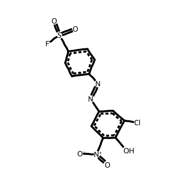 O=[N+]([O-])c1cc(/N=N/c2ccc(S(=O)(=O)F)cc2)cc(Cl)c1O